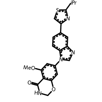 COc1cc(-n2cnc3cc(-c4csc(C(C)C)n4)ccc32)cc2c1C(=O)NCO2